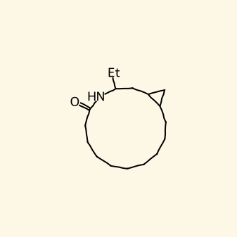 CCC1CC2CC2CCCCCCCCCC(=O)N1